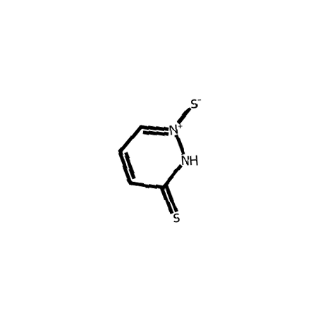 S=c1ccc[n+]([S-])[nH]1